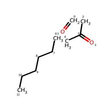 C=O.CC(C)=O.CCCCCC